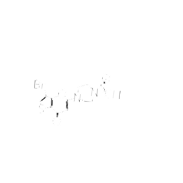 C[S+]([O-])N1CCN(c2cc(=O)c3scc(Br)c3o2)CC1